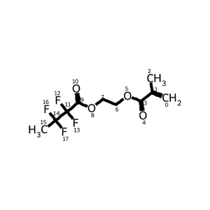 C=C(C)C(=O)OCCOC(=O)C(F)(F)C(C)(F)F